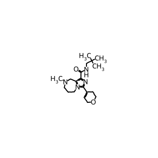 CN1CCCn2c(C3=CCOCC3)nc(C(=O)NCC(C)(C)C)c2C1